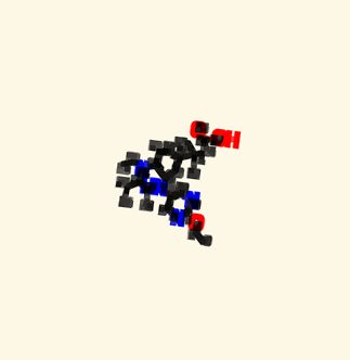 CCOc1ncc(Nc2cc(C(C)(C)CC(=O)O)ccc2N(CC)C(CC)CC)cn1